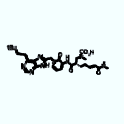 CN(C)C(=O)/C=C/CC[C@@H](CN(C)C(=O)O)C(=O)Nc1cccn(Cc2nc3c(CCC(C)(C)C)ncnc3[nH]2)c1=O